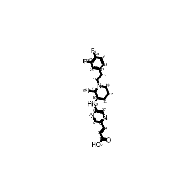 O=C(O)C=Cc1cnc(N[C@@H]2CCCN(CCc3ccc(F)c(F)c3)C2I)cn1